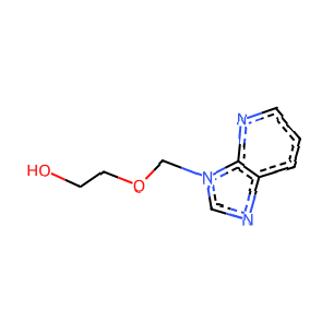 OCCOCn1cnc2cccnc21